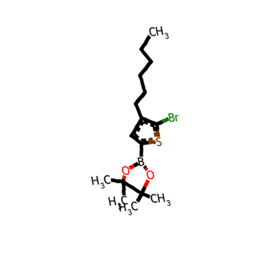 CCCCCCc1cc(B2OC(C)(C)C(C)(C)O2)sc1Br